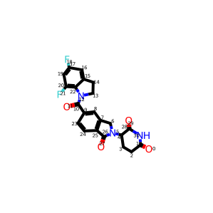 O=C1CCC(N2Cc3cc(C(=O)N4CCc5cc(F)cc(F)c54)ccc3C2=O)C(=O)N1